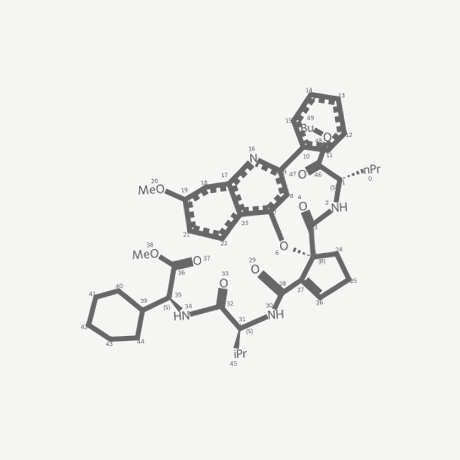 CCC[C@H](NC(=O)[C@@]1(Oc2cc(-c3ccccc3)nc3cc(OC)ccc23)CCC=C1C(=O)N[C@H](C(=O)N[C@H](C(=O)OC)C1CCCCC1)C(C)C)C(=O)OC(C)(C)C